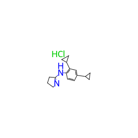 Cl.c1cc(NC2=NCCC2)c(C2CC2)cc1C1CC1